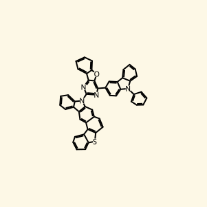 c1ccc(-n2c3ccccc3c3cc(-c4nc(-n5c6ccccc6c6cc7c(ccc8sc9ccccc9c87)cc65)nc5c4oc4ccccc45)ccc32)cc1